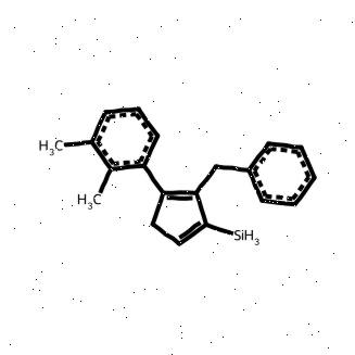 Cc1cccc(C2=C(Cc3ccccc3)C([SiH3])=CC2)c1C